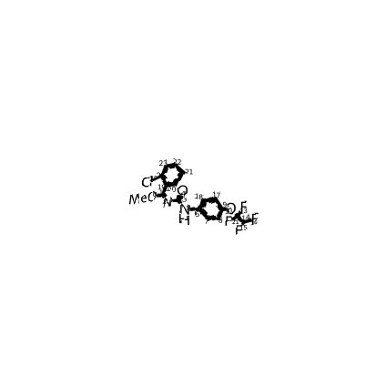 COC(=NC(=O)Nc1ccc(OC(F)(F)C(F)F)cc1)c1ccccc1Cl